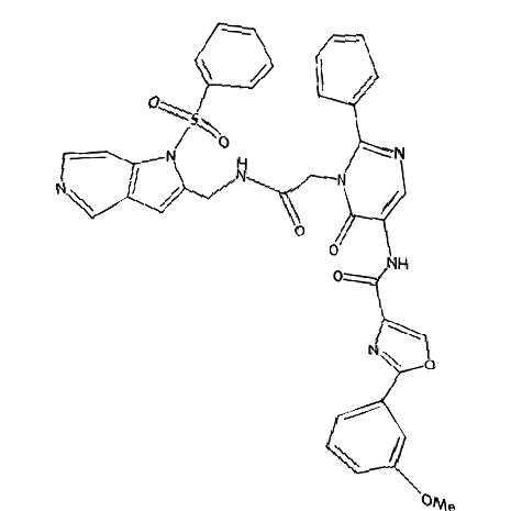 COc1cccc(-c2nc(C(=O)Nc3cnc(-c4ccccc4)n(CC(=O)NCc4cc5cnccc5n4S(=O)(=O)c4ccccc4)c3=O)co2)c1